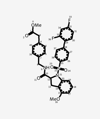 COC(=O)Cc1ccc(CNC(=O)C2Cc3c(OC)cccc3N2S(=O)(=O)c2ccc(-c3ccc(F)cc3F)cc2)cc1